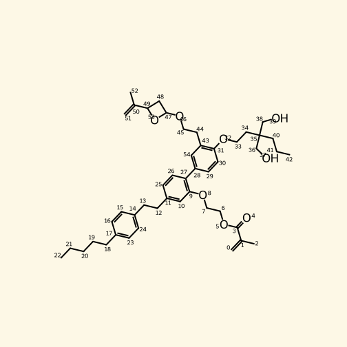 C=C(C)C(=O)OCCOc1cc(CCc2ccc(CCCCC)cc2)ccc1-c1ccc(OCCC(CO)(CO)CCC)c(CCOC2CC(C(=C)C)O2)c1